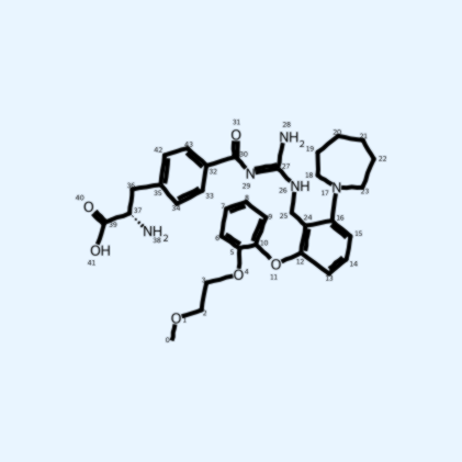 COCCOc1ccccc1Oc1cccc(N2CCCCCC2)c1CN/C(N)=N/C(=O)c1ccc(C[C@H](N)C(=O)O)cc1